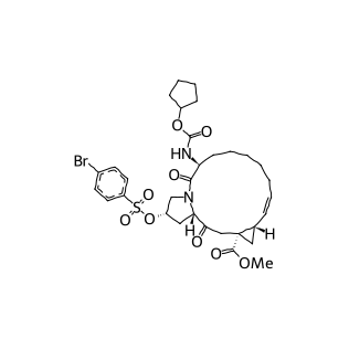 COC(=O)[C@]12CC(=O)[C@@H]3C[C@H](OS(=O)(=O)c4ccc(Br)cc4)CN3C(=O)[C@@H](NC(=O)OC3CCCC3)CCCCC/C=C\[C@@H]1C2